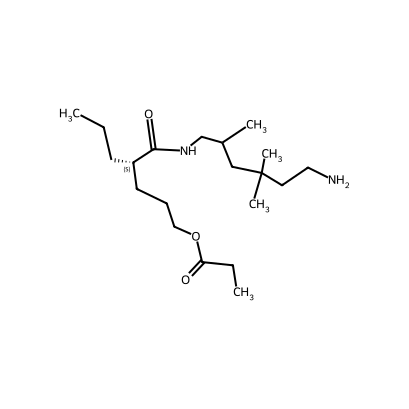 CCC[C@@H](CCCOC(=O)CC)C(=O)NCC(C)CC(C)(C)CCN